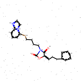 O=C1O/C(=C/CCc2ccccc2)C(=O)N1CCCCSc1cccc2nccn12